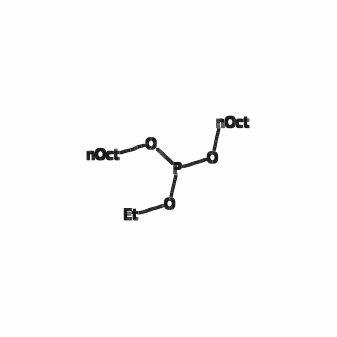 CCCCCCCCOP(OCC)OCCCCCCCC